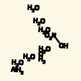 O.O.O.O.O.O.O.O=[N+]([O-])O.[AlH3]